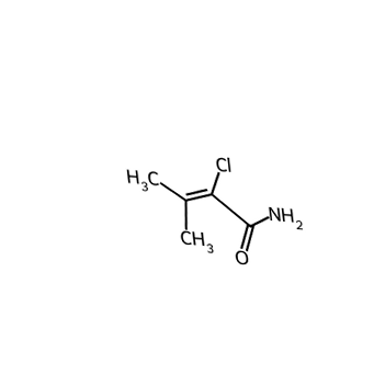 CC(C)=C(Cl)C(N)=O